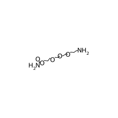 NCCCOCCOCCOCCCOC(N)=O